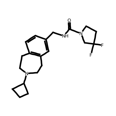 O=C(NCc1ccc2c(c1)CCN(C1CCC1)CC2)N1CCC(F)(F)C1